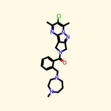 Cc1nc2c3c(nn2c(C)c1Cl)CN(C(=O)c1ccccc1CN1CCCN(C)CC1)C3